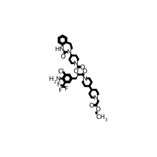 CCOC(=O)CN1CCC(C2CCN(C(=O)[C@@H](Cc3cc(Cl)c(N)c(C(F)(F)F)c3)OC(=O)N3CCC(N4CCc5ccccc5NC4=O)CC3)CC2)CC1